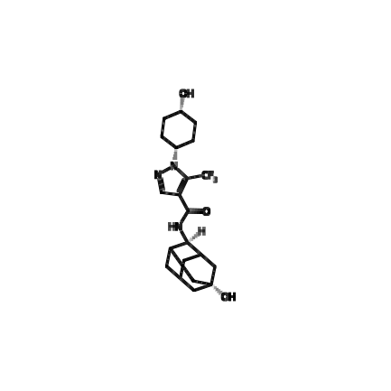 O=C(N[C@H]1C2CC3CC1C[C@](O)(C3)C2)c1cnn([C@H]2CC[C@@H](O)CC2)c1C(F)(F)F